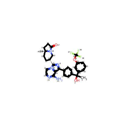 CC(O)(c1ccc(-c2nc([C@@H]3CC[C@H]4CCC(=O)N4C3)n3ccnc(N)c23)cc1)c1cccc(OC(F)(F)F)c1